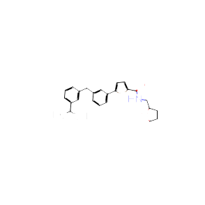 CC(C)c1cccc(Cc2cccc(-c3ccc(C(=O)NCC4CCCO4)s3)c2)c1